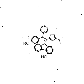 CCC1=CC[C]([Zr](=[C](c2ccccc2)c2ccccc2)[CH]2c3ccccc3-c3ccccc32)=C1.Cl.Cl